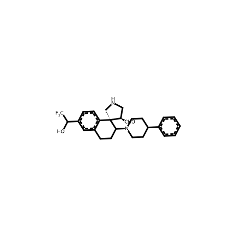 O=C[C@@H]1CNC[C@]12c1ccc(C(O)C(F)(F)F)cc1CCC2N1CCC(c2ccccc2)CC1